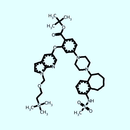 CC(C)(C)OC(=O)c1ccc(N2CCN(C3CCCCc4c(NS(C)(=O)=O)cccc43)CC2)cc1Oc1cnc2c(ccn2COCC[Si](C)(C)C)c1